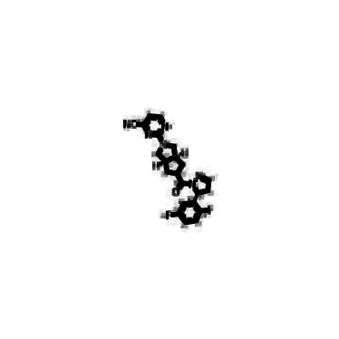 N#Cc1ccnc(N2C[C@H]3CC(C(=O)N4N=CC[C@H]4c4cc(F)ccc4F)C[C@@H]3C2)n1